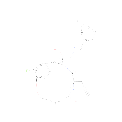 C#CCC1NC(=O)CCCCOc2ccc(cc2F)CC(C(O)CNCc2cccc(C(F)(F)F)c2)NC1=O